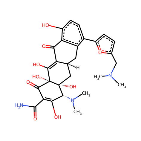 CN(C)Cc1ccc(-c2ccc(O)c3c2C[C@H]2C[C@@]4(O)[C@H](N(C)C)C(O)=C(C(N)=O)C(=O)[C@@]4(O)C(O)=C2C3=O)o1